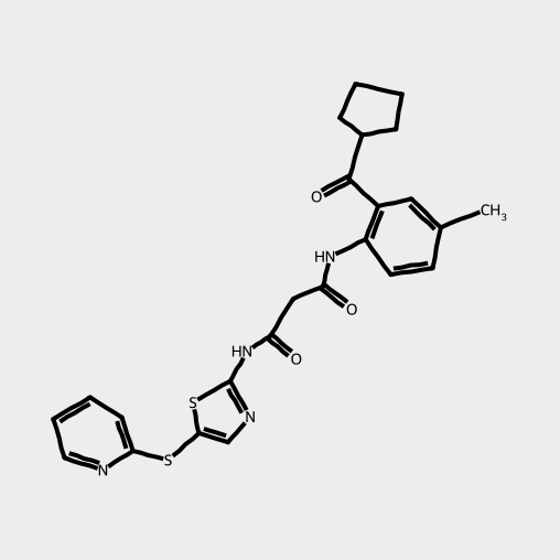 Cc1ccc(NC(=O)CC(=O)Nc2ncc(Sc3ccccn3)s2)c(C(=O)C2CCCC2)c1